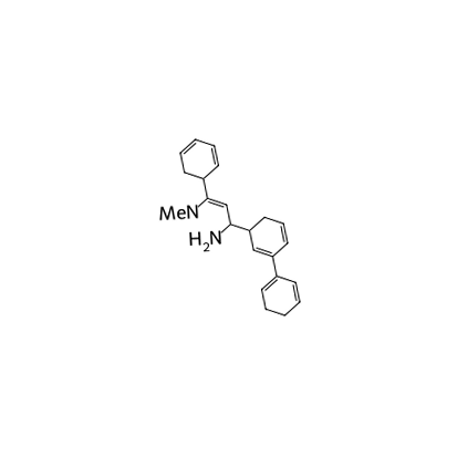 CN/C(=C\C(N)C1C=C(C2=CCCC=C2)C=CC1)C1C=CC=CC1